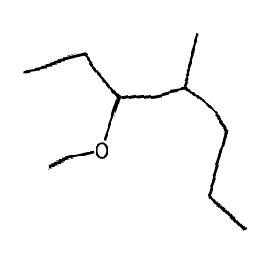 CCCC(C)C(CC)OC